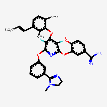 CCOC(=O)C=Cc1ccc(OC)c(Oc2c(F)c(Oc3cccc(C4=NCCN4C)c3)nc(Oc3cc(C(=N)N)ccc3O)c2F)c1OC